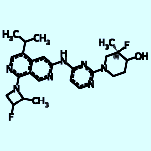 CC(C)c1cnc(N2CC(F)C2C)c2cnc(Nc3ccnc(N4CCC(O)[C@](C)(F)C4)n3)cc12